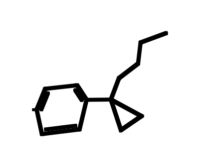 CCCCC1(c2cc[c]cc2)CC1